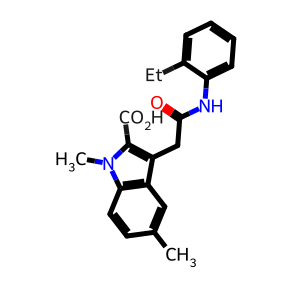 CCc1ccccc1NC(=O)Cc1c(C(=O)O)n(C)c2ccc(C)cc12